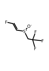 [O-][S+](/C=C/F)CC(F)(F)F